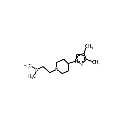 Cc1cn(C2CCN(CCN(C)C)CC2)nc1C